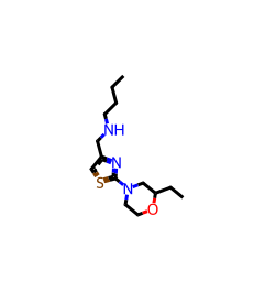 CCCCNCc1csc(N2CCOC(CC)C2)n1